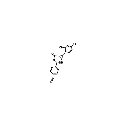 N#Cc1ccc(C2=NC(=O)C3C(N2)C3c2ccc(Cl)cc2Cl)cc1